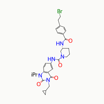 CC(C)n1c(=O)n(CC2CC2)c(=O)c2cc(NC(=O)N3CCC[C@@H](NC(=O)c4ccc(CCBr)cc4)C3)ccc21